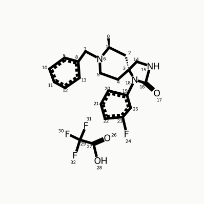 C[C@H]1C[C@]2(CCN1Cc1ccccc1)CNC(=O)N2c1cccc(F)c1.O=C(O)C(F)(F)F